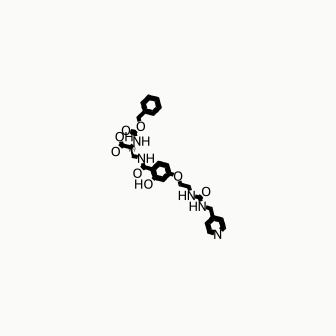 O=C(NCCOc1ccc(C(=O)NC[C@H](NC(=O)OCc2ccccc2)C(=O)O)c(O)c1)NCc1ccncc1